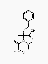 C[C@@H](S)C(=O)N(N(C)C)C(C)(SCc1ccccc1)C(=O)O